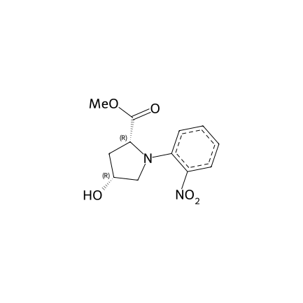 COC(=O)[C@H]1C[C@@H](O)CN1c1ccccc1[N+](=O)[O-]